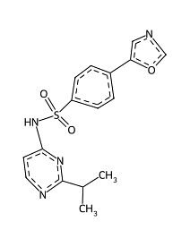 CC(C)c1nccc(NS(=O)(=O)c2ccc(-c3cnco3)cc2)n1